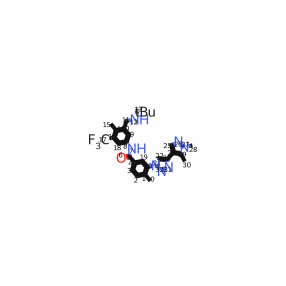 Cc1ccc(C(=O)Nc2cc(CNC(C)(C)C)c(C)c(C(F)(F)F)c2)cc1-n1cc(-c2cnn(C)c2C)nn1